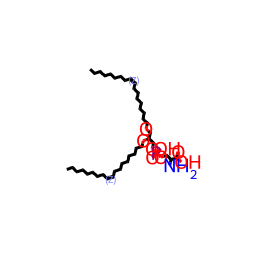 CCCCCCCC/C=C\CCCCCCCCOCC(COP(=O)(O)OCC(N)C(=O)O)OCCCCCCCC/C=C\CCCCCCCC